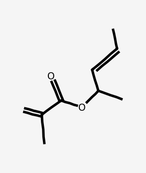 C=C(C)C(=O)OC(C)C=CC